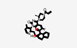 C=CC(=O)N1CCN(c2nc(=O)n(-c3c(C)ccnc3CCC)c(N=O)c2/C=C(/F)C(=C)c2c(O)ccc3ccccc23)[C@@H](C)C1